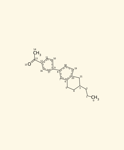 CCCC1CCc2cc(-c3ccc(C(C)=O)cc3)ccc2C1